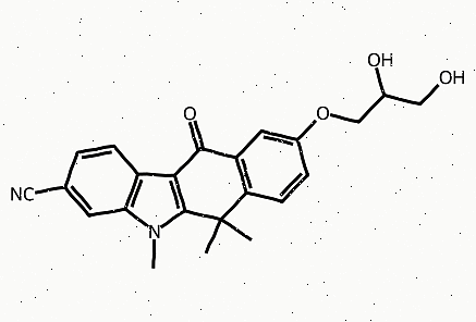 Cn1c2c(c3ccc(C#N)cc31)C(=O)c1cc(OCC(O)CO)ccc1C2(C)C